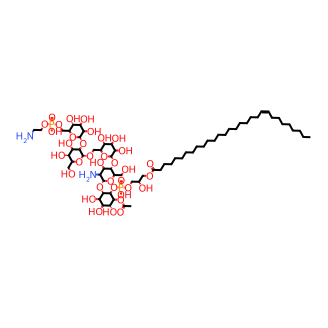 CCCCCCCC/C=C\CCCCCCCCCCCCCCCCCCCC(=O)OC[C@@H](O)COP(=O)(O)OC1C(OC(C)=O)[C@H](O)C(O)C(O)[C@H]1O[C@H]1OC(CO)[C@@H](O[C@H]2OC(CO[C@H]3OC(CO)[C@@H](O)C(O)C3O[C@H]3OC(COP(=O)(O)OCCN)[C@H](O)C(O)C3O)[C@@H](O)C(O)C2O)C(O)C1N